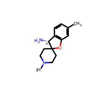 Cc1ccc2c(c1)OC1(CCN(C(C)C)CC1)[C@@H]2N